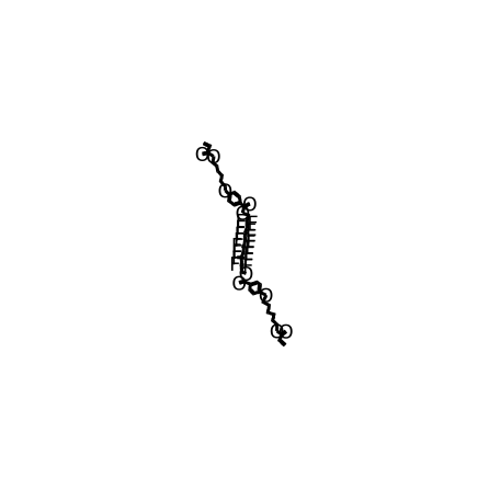 C=CC(=O)OCCCCCCOc1ccc(C(=O)OCC(F)(F)C(F)(F)C(F)(F)C(F)(F)C(F)(F)C(F)(F)C(F)(F)C(F)(F)COC(=O)c2ccc(OCCCCCCOC(=O)C=C)cc2)cc1